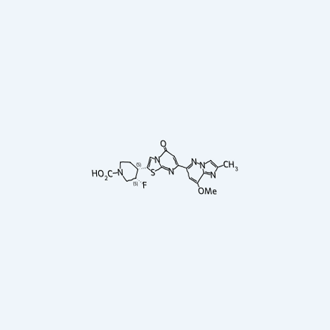 COc1cc(-c2cc(=O)n3cc([C@H]4CCN(C(=O)O)C[C@H]4F)sc3n2)nn2cc(C)nc12